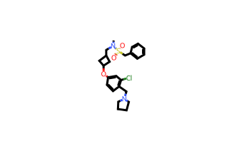 CN(CC1CC(Oc2ccc(CN3CCCC3)c(Cl)c2)C1)S(=O)(=O)Cc1ccccc1